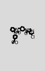 COC(=O)c1ccc(-n2c(=O)n(CC3CCC(NC(=O)c4cc(Cl)cnc4C)CC3)c3ccccc32)cc1